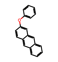 [c]1c(Oc2ccccc2)ccc2cc3ccccc3cc12